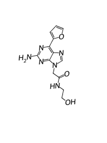 Nc1nc(-c2ccco2)c2ncn(CC(=O)NCCO)c2n1